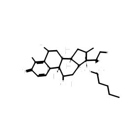 CCCCC(=O)O[C@]1(C(=O)CF)C(C)C[C@H]2[C@@H]3CC(F)C4=C(F)C(=O)C=C[C@]4(C)[C@H]3C(O)C[C@@]21C